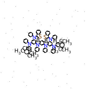 CC1(C)CCC(C)(C)c2cc(N(c3ccccc3)c3cc4c5c(c3)N(c3ccccc3)c3c(sc6ccccc36)B5c3cc5c(cc3N4c3ccccc3)N(c3ccccc3)c3cc(N(c4ccccc4)c4ccc6c(c4)C(C)(C)CCC6(C)C)cc4c3B5c3sc5ccccc5c3N4c3ccccc3)ccc21